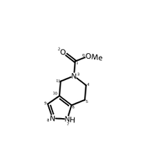 COC(=O)N1CCc2[nH]ncc2C1